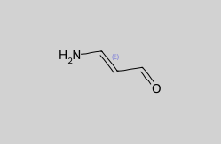 N/C=C/C=O